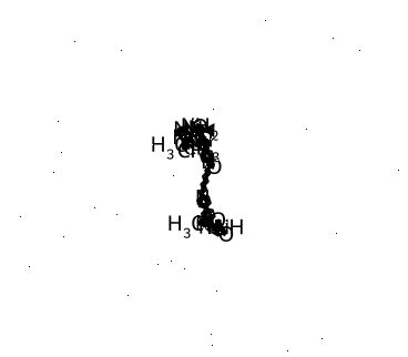 Cn1nc(N2CCC(=O)NC2=O)c2ccc(C3CCN(CCCCCCCC(=O)N4CCC(c5cnc(-c6c(-c7nn(C(C)(C)C)c8ncnc(N)c78)noc6C6CC6)nc5)CC4)CC3)cc21